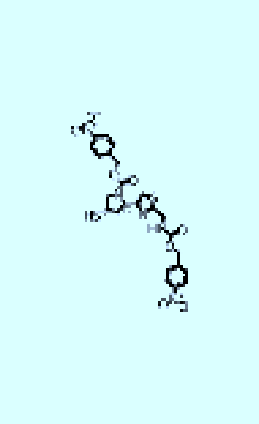 O=C(NCc1nc([C@@H]2C[C@H](S)CN2C(=O)OCc2ccc([N+](=O)[O-])cc2)cs1)OCc1ccc([N+](=O)[O-])cc1